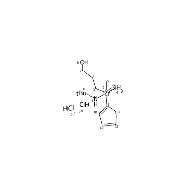 CC(C)(C)[NH][Zr]([CH3])(=[SiH2])([CH2]CCO)[C]1=CC=CC1.Cl.Cl